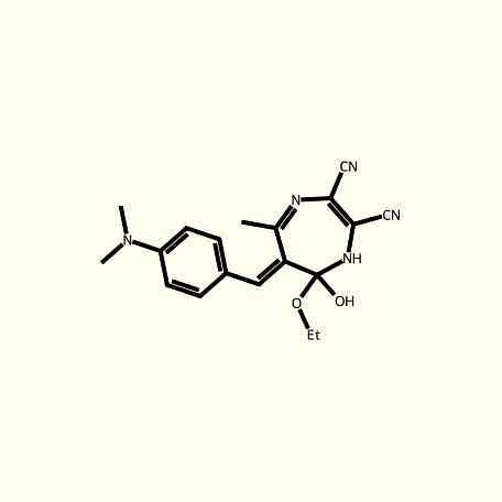 CCOC1(O)NC(C#N)=C(C#N)N=C(C)C1=Cc1ccc(N(C)C)cc1